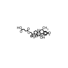 C[C@H]1C[C@@H]2[C@H](C(O)C[C@@]3(C)[C@H]2CC[C@]3(O)C(=O)COC(=O)CCC(=O)O)[C@@]2(C)C=CC(=O)C=C12